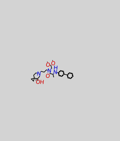 COC(CN(CCCN1CCC2(CC2)[C@H](O)C1)C(=O)C(C)Nc1ccc(-c2ccccc2)cc1)OC